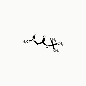 CS(=S)CC(=O)OC(C)(C)C